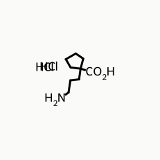 Cl.Cl.NCCCC1(C(=O)O)CCCC1